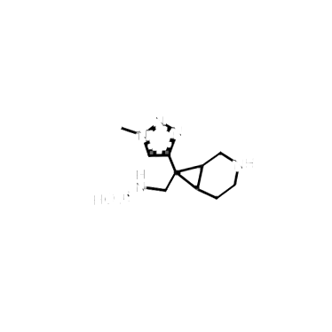 Cn1cc(C2(CNC(=O)O)C3CCNCC32)nn1